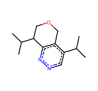 CC(C)c1cnnc2c1COCC2C(C)C